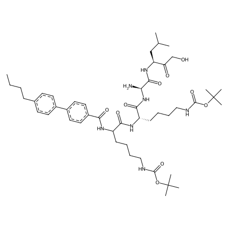 CCCCc1ccc(-c2ccc(C(=O)NC(CCCCNC(=O)OC(C)(C)C)C(=O)N[C@@H](CCCCNC(=O)OC(C)(C)C)C(=O)N[C@@H](N)C(=O)N[C@@H](CC(C)C)C(=O)CO)cc2)cc1